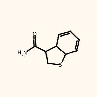 NC(=O)C1CSC2C=CC=CC21